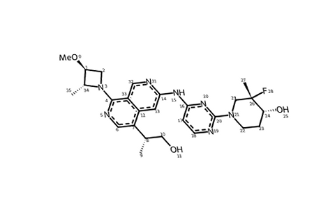 CO[C@H]1CN(c2ncc([C@@H](C)CO)c3cc(Nc4ccnc(N5CC[C@@H](O)[C@@](C)(F)C5)n4)ncc23)[C@@H]1C